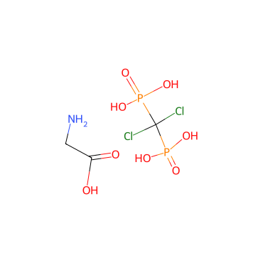 NCC(=O)O.O=P(O)(O)C(Cl)(Cl)P(=O)(O)O